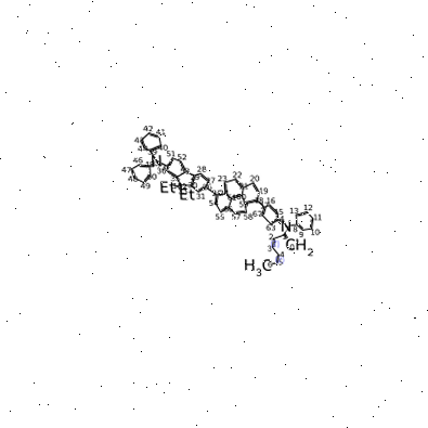 C=C(/C=C\C=C/C)N(c1ccccc1)c1ccc(-c2ccc3ccc4c(-c5ccc6c(c5)C(CC)(CC)c5cc(N(c7ccccc7)c7ccccc7)ccc5-6)ccc5ccc2c3c54)cc1